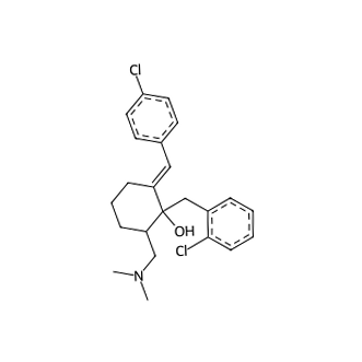 CN(C)CC1CCCC(=Cc2ccc(Cl)cc2)C1(O)Cc1ccccc1Cl